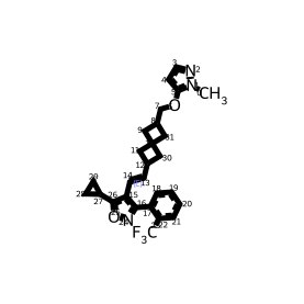 Cn1nccc1OCC1CC2(CC(/C=C/c3c(-c4ccccc4C(F)(F)F)noc3C3CC3)C2)C1